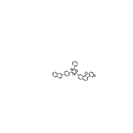 c1ccc(-c2nc(-c3ccc(-c4ccc5ccccc5c4)cc3)nc(-c3ccc4ccc5c6cnccc6oc5c4c3)n2)cc1